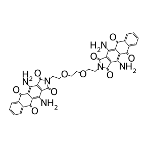 Nc1c2c(=O)c3ccccc3c(=O)c2c(N)c2c(=O)n(CCOCCOCCn3c(=O)c4c(N)c5c(=O)c6ccccc6c(=O)c5c(N)c4c3=O)c(=O)c12